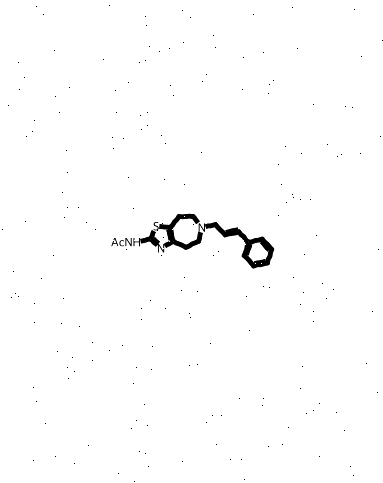 CC(=O)Nc1nc2c(s1)CCN(C/C=C/c1ccccc1)CC2